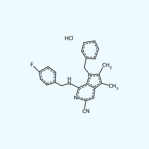 Cc1c(C)n(Cc2ccccc2)c2c(NCc3ccc(F)cc3)nc(C#N)cc12.Cl